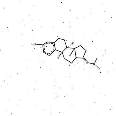 CN(C)N=C1CC[C@H]2[C@@H]3CCc4cc(O)ccc4[C@H]3CC[C@]12C